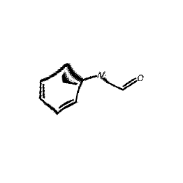 O=C[N]c1[c]cccc1